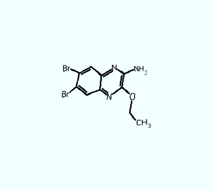 CCOc1nc2cc(Br)c(Br)cc2nc1N